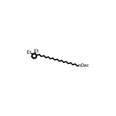 [CH2]CCCCCCCCCCCCCCCCCCCCCCCCCCCc1cccc(CC)c1CC